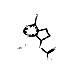 CC(=O)OC1CCc2c(Cl)ncnc21.[Li+].[OH-]